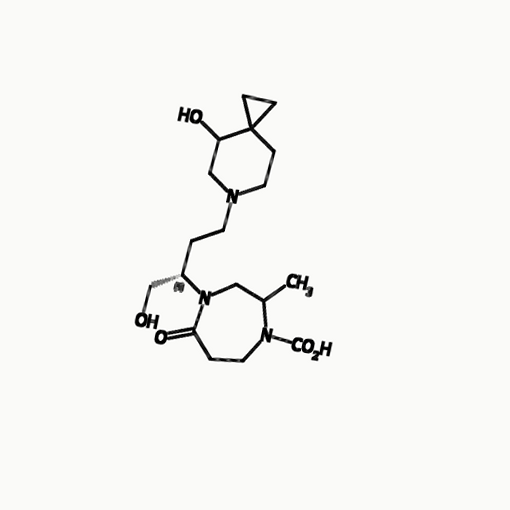 CC1CN([C@H](CO)CCN2CCC3(CC3)C(O)C2)C(=O)CCN1C(=O)O